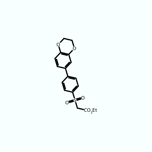 CCOC(=O)CS(=O)(=O)c1ccc(-c2ccc3c(c2)OCCO3)cc1